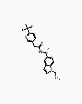 C[C@@H](NC(=O)Cc1ccc(C(C)(F)F)nc1)c1cc2cnn(CC(F)(F)F)c2cn1